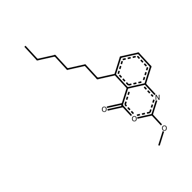 CCCCCCc1cccc2nc(OC)oc(=O)c12